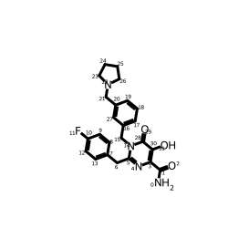 NC(=O)c1nc(Cc2ccc(F)cc2)n(Cc2cccc(CN3CCCC3)c2)c(=O)c1O